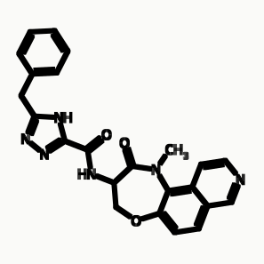 CN1C(=O)C(NC(=O)c2nnc(Cc3ccccc3)[nH]2)COc2ccc3cnccc3c21